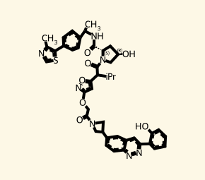 Cc1ncsc1-c1ccc(C(C)NC(=O)[C@@H]2C[C@@H](O)CN2C(=O)C(c2cc(OCC(=O)N3CC(c4ccc5nnc(-c6ccccc6O)cc5c4)C3)no2)C(C)C)cc1